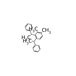 Cc1ccc(C(C)c2ccccc2)c(C(C)c2ccccc2)c1C